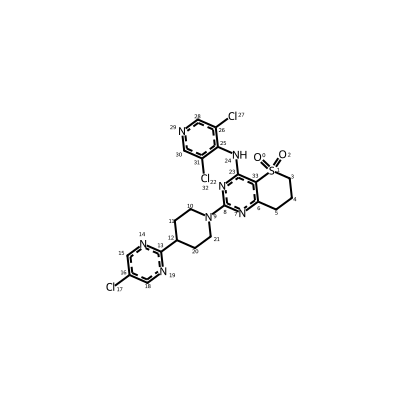 O=S1(=O)CCCc2nc(N3CCC(c4ncc(Cl)cn4)CC3)nc(Nc3c(Cl)cncc3Cl)c21